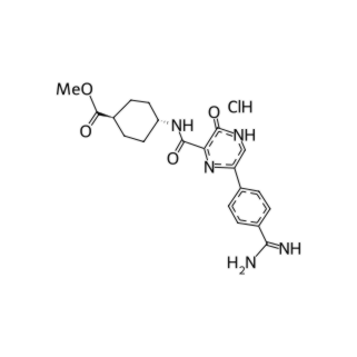 COC(=O)[C@H]1CC[C@H](NC(=O)c2nc(-c3ccc(C(=N)N)cc3)c[nH]c2=O)CC1.Cl